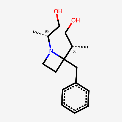 C[C@H](CO)N1CCC1(Cc1ccccc1)[C@@H](C)CO